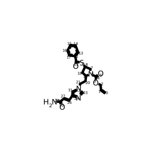 C=CCOC(=O)N1CC(SC(=O)c2ccccc2)CC1CCn1cnc(C=CC(N)=O)c1